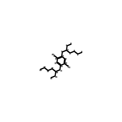 CCCCC(CC)Cc1cc(I)c(CC(CC)CCCC)cc1I